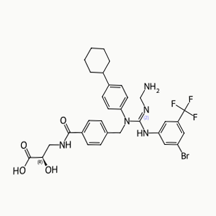 NC/N=C(/Nc1cc(Br)cc(C(F)(F)F)c1)N(Cc1ccc(C(=O)NC[C@@H](O)C(=O)O)cc1)c1ccc(C2CCCCC2)cc1